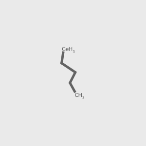 CCC[CH2][GeH3]